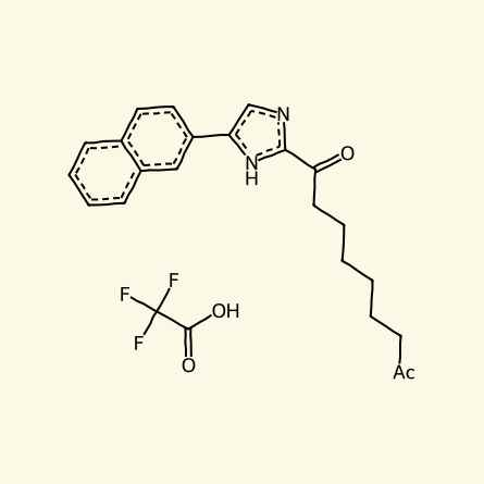 CC(=O)CCCCCCC(=O)c1ncc(-c2ccc3ccccc3c2)[nH]1.O=C(O)C(F)(F)F